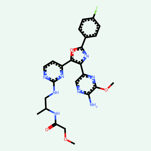 COCC(=O)NC(C)CNc1nccc(-c2oc(-c3ccc(F)cc3)nc2-c2cnc(N)c(OC)n2)n1